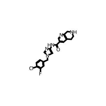 O=C(Nc1cn(Cc2ccc(Cl)c(F)c2)cn1)c1cnc2c(c1)CCNC2